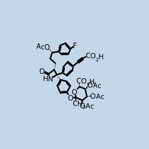 CC(=O)O[C@H]1[C@H](OC(C)=O)[C@@H](OC(C)=O)[C@](C)(Oc2ccc([C@]3(c4ccc(C#CC(=O)O)cc4)NC(=O)[C@@H]3CC[C@H](OC(C)=O)c3ccc(F)cc3)cc2)O[C@@H]1C(=O)O